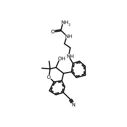 CC1(C)Oc2ccc(C#N)cc2C(c2ccccc2NCCNC(N)=O)C1O